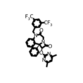 Cc1cc(C)nc(O[C@@H]2C(=O)N3CC(=O)N(Cc4cc(C(F)(F)F)cc(C(F)(F)F)c4)c4ccccc4[C@@]23c2ccccc2)n1